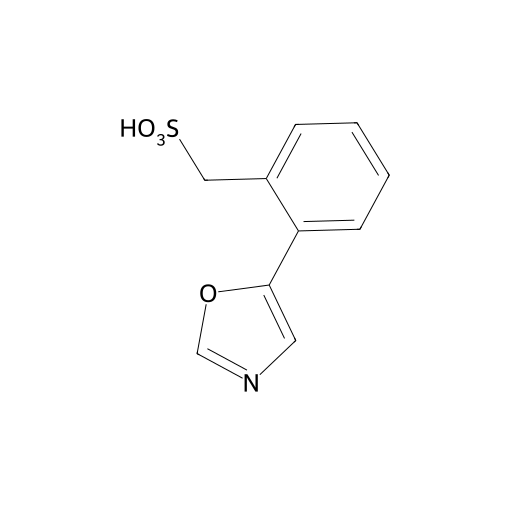 O=S(=O)(O)Cc1ccccc1-c1cnco1